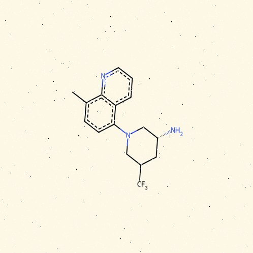 Cc1ccc(N2CC(C(F)(F)F)C[C@@H](N)C2)c2cccnc12